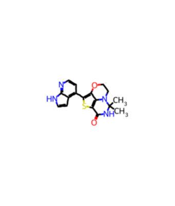 CC1(C)NC(=O)c2sc(-c3ccnc4[nH]ccc34)c3c2N1CCO3